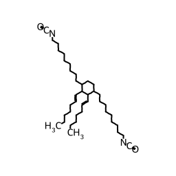 CCCCCC=CC1C(CCCCCCCCCN=C=O)CCC(CCCCCCCCCN=C=O)C1C=CCCCCC